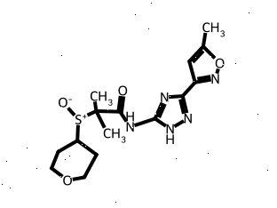 Cc1cc(-c2n[nH]c(NC(=O)C(C)(C)[S+]([O-])C3CCOCC3)n2)no1